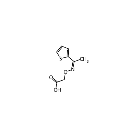 C/C(=N/OCC(=O)O)c1cccs1